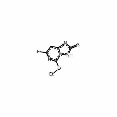 CCOc1nc(F)cc2nc(=S)[nH]n12